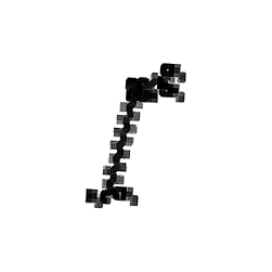 CCN(C)CCOP(=O)(O)OCCCCCCCCCCCCCCC(C)C